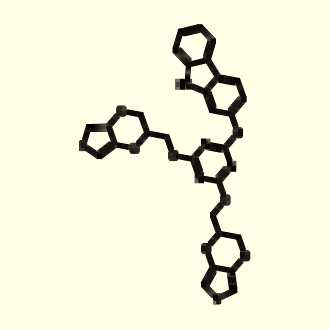 c1ccc2c(c1)[nH]c1cc(Oc3nc(OCC4COc5cscc5O4)nc(OCC4COc5cscc5O4)n3)ccc12